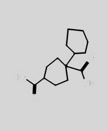 O=C(O)C1CCC(C(=O)O)(C2CCCCC2)CC1